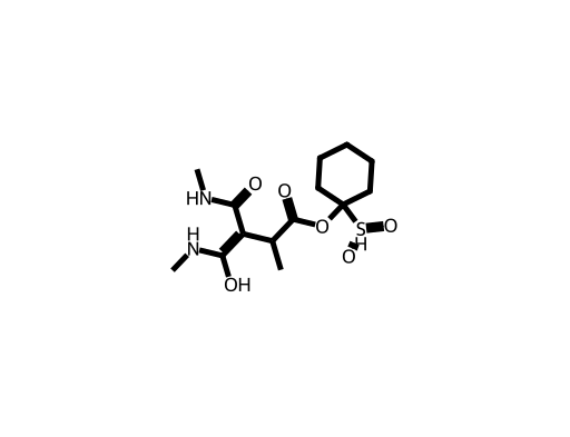 CNC(=O)/C(=C(/O)NC)C(C)C(=O)OC1([SH](=O)=O)CCCCC1